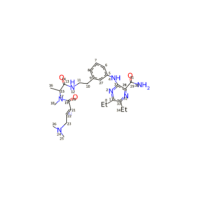 CCc1nc(Nc2cccc(CCNC(=O)C(C)N(C)C(=O)/C=C/CN(C)C)c2)c(C(N)=O)nc1CC